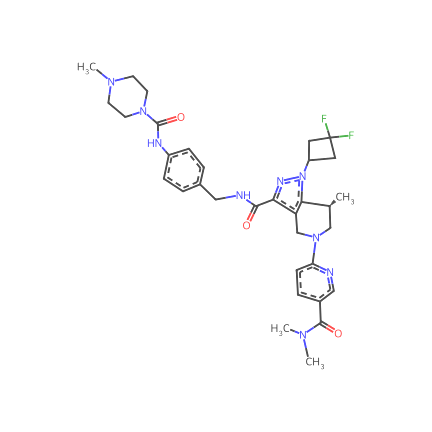 C[C@H]1CN(c2ccc(C(=O)N(C)C)cn2)Cc2c(C(=O)NCc3ccc(NC(=O)N4CCN(C)CC4)cc3)nn(C3CC(F)(F)C3)c21